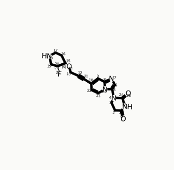 O=C1CCN(c2cnc3cc(C#CCO[C@H]4CCNC[C@H]4F)ccn23)C(=O)N1